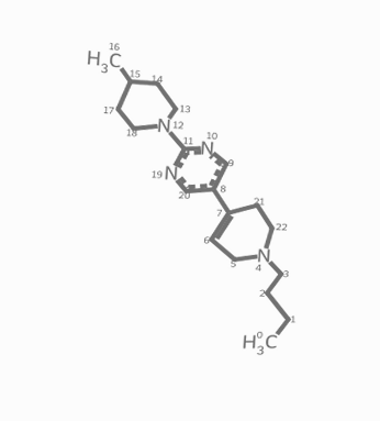 CCCCN1CC=C(c2cnc(N3CCC(C)CC3)nc2)CC1